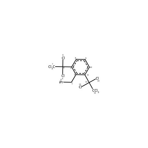 CC(C)[CH]c1c(C(Cl)(Cl)C(Cl)(Cl)Cl)cccc1C(Cl)(Cl)C(Cl)(Cl)Cl